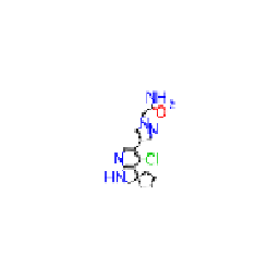 NC(=O)Cn1cc(-c2cnc3c(c2Cl)C2(CC=CC2)CN3)cn1